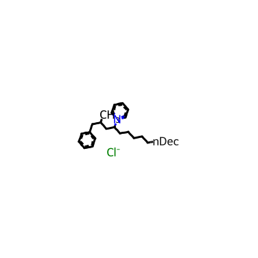 CCCCCCCCCCCCCCCC(CC(C)Cc1ccccc1)[n+]1ccccc1.[Cl-]